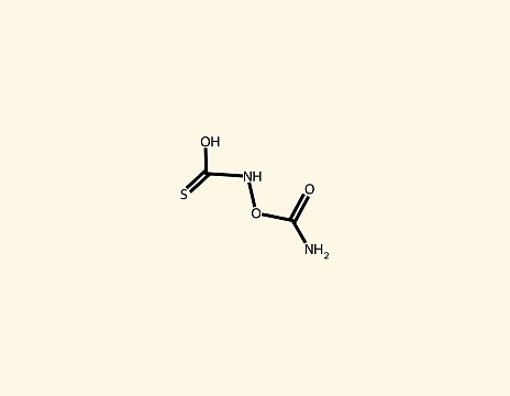 NC(=O)ONC(O)=S